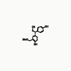 COCc1cc(C(SC#N)c2ccc(O)cc2)ccc1O